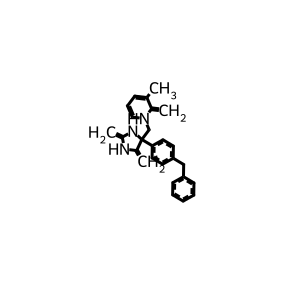 C=C1NC(=C)C(CN2C=CC=C(C)C2=C)(c2ccc(Cc3ccccc3)cc2)N1